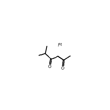 CC(=O)CC(=O)C(C)C.[Pt]